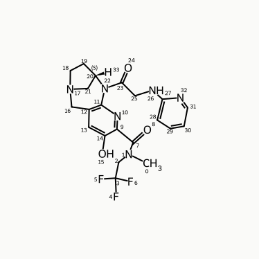 CN(CC(F)(F)F)C(=O)c1nc2c(cc1O)CN1CC[C@@H](C1)N2C(=O)CNc1ccccn1